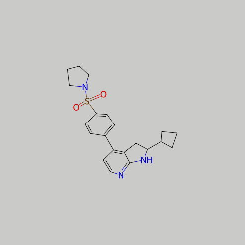 O=S(=O)(c1ccc(-c2ccnc3c2CC(C2CCC2)N3)cc1)N1CCCC1